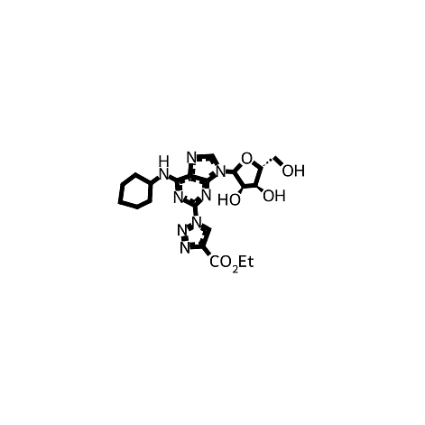 CCOC(=O)c1cn(-c2nc(NC3CCCCC3)c3ncn(C4O[C@H](CO)[C@@H](O)[C@H]4O)c3n2)nn1